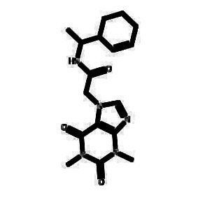 CC(NC(=O)Cn1cnc2c1c(=O)n(C)c(=O)n2C)C1C=CCCC1